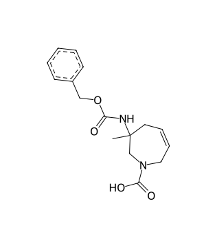 CC1(NC(=O)OCc2ccccc2)CC=CCN(C(=O)O)C1